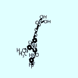 CCN(CC)c1ccc(NC(=O)c2cccc(COCCOCCOC(=O)N(CCO)CCO)c2)c(-c2cc(C(=O)NCc3cccc(C(F)(F)F)c3)ccn2)c1